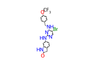 O=C1Cc2ccc(Nc3ncc(Br)c(NCc4ccc(OC(F)(F)F)cc4)n3)cc2N1